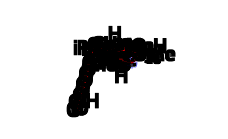 COc1cc(C(=O)N(C)[C@@H](C)C(=O)O)c(C[C@@H]2[C@@H]3C[C@@](O)(NC(=O)O3)[C@H](OC)/C=C/C=C(\C)Cc3cc(OC)c(Cl)c(c3)N(C)C(=O)CC[C@]3(C)O[C@@H]23)cc1NC(=O)OCc1ccc(NC(=O)[C@H](C)NC(=O)[C@@H](NC(=O)CCOCCOCCOCCOCCOCCOCCOCCOCCNC(=O)CCN2C(=O)C=CC2=O)C(C)C)cc1